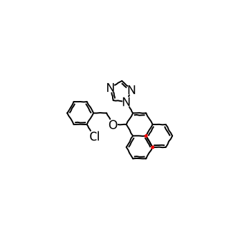 Clc1ccccc1COC(/C(=C\c1ccccc1)n1cncn1)c1ccccc1